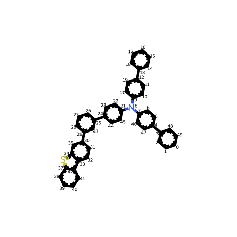 c1ccc(-c2ccc(N(c3ccc(-c4ccccc4)cc3)c3ccc(-c4cccc(-c5ccc6c(c5)sc5ccccc56)c4)cc3)cc2)cc1